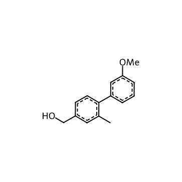 COc1cccc(-c2ccc(CO)cc2C)c1